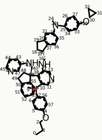 CCCOc1ccc(N(C)c2cncc(NC[C@@H]3CCc4cc(N(C)c5ccc(OC6CC6)cc5)ccc43)c2[C@@]2(CNc3cccnc3)CCc3ccccc32)cc1